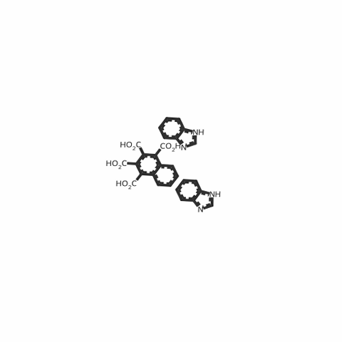 O=C(O)c1c(C(=O)O)c(C(=O)O)c2ccccc2c1C(=O)O.c1ccc2[nH]cnc2c1.c1ccc2[nH]cnc2c1